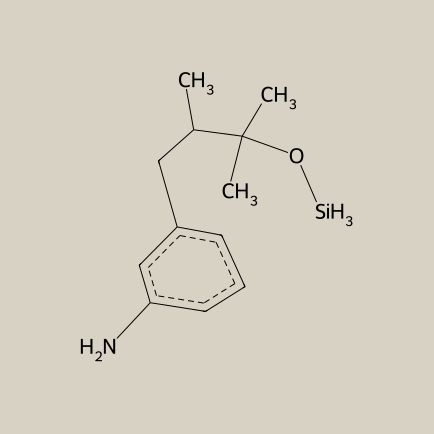 CC(Cc1cccc(N)c1)C(C)(C)O[SiH3]